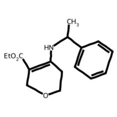 CCOC(=O)C1=C(NC(C)c2ccccc2)CCOC1